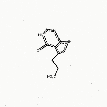 O=C(O)CCc1c[nH]c2nc[nH]c(=O)c12